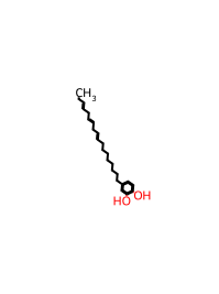 CCC=CCC=CCC=CCCCCCCCCc1ccc(O)c(O)c1